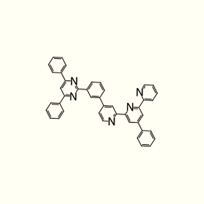 c1ccc(-c2cc(-c3ccccn3)nc(-c3cc(-c4cccc(-c5nc(-c6ccccc6)cc(-c6ccccc6)n5)c4)ccn3)c2)cc1